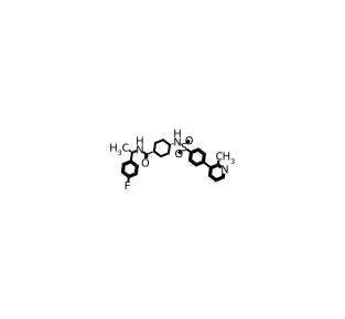 Cc1ncccc1-c1ccc(S(=O)(=O)N[C@H]2CC[C@H](C(=O)N[C@H](C)c3ccc(F)cc3)CC2)cc1